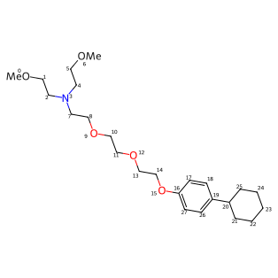 COCCN(CCOC)CCOCCOCCOc1ccc(C2CCCCC2)cc1